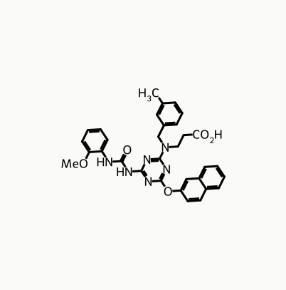 COc1ccccc1NC(=O)Nc1nc(Oc2ccc3ccccc3c2)nc(N(CCC(=O)O)Cc2cccc(C)c2)n1